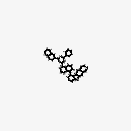 c1ccc(-c2nc(-c3ccc4ccccc4c3)nc(-c3cccc4c(-c5cccc6oc7cc8cnccc8cc7c56)cccc34)n2)cc1